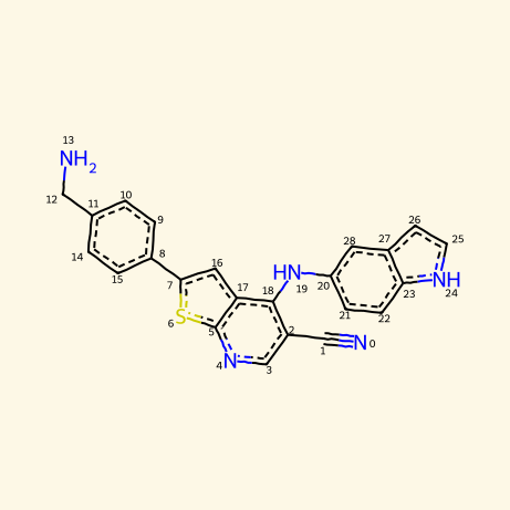 N#Cc1cnc2sc(-c3ccc(CN)cc3)cc2c1Nc1ccc2[nH]ccc2c1